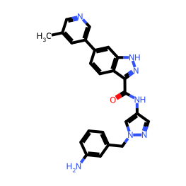 Cc1cncc(-c2ccc3c(C(=O)Nc4cnn(Cc5cccc(N)c5)c4)n[nH]c3c2)c1